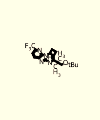 CC(C)(C)OCC(C)(C)C1=C2CCC2n2c(nc3ccc(C(F)(F)F)nc32)N1